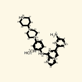 Cl.Cl.Nc1cncc(-c2cn3ccnc3c(Nc3ccc(N4CCN(C5CCNCC5)CC4)cc3)n2)n1